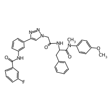 COc1ccc(N(C)C(=O)C(Cc2ccccc2)NC(=O)Cn2cc(-c3cccc(NC(=O)c4cccc(F)c4)c3)nn2)cc1